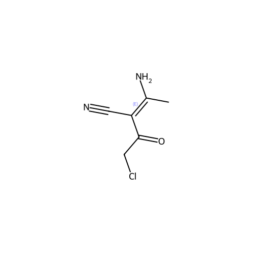 C/C(N)=C(/C#N)C(=O)CCl